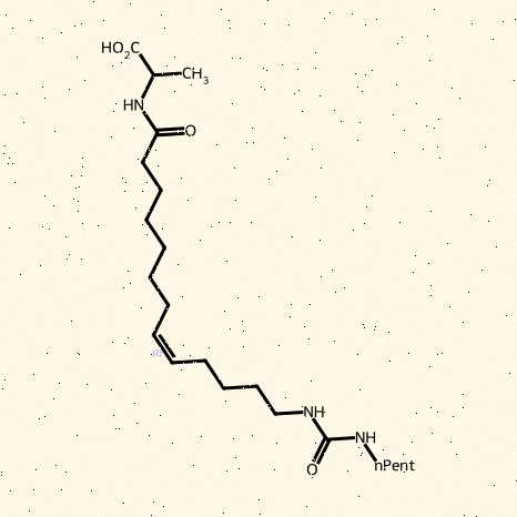 CCCCCNC(=O)NCCCC/C=C\CCCCCCC(=O)NC(C)C(=O)O